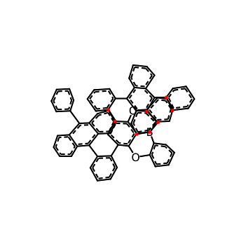 c1ccc(-c2c3ccccc3c(-c3ccccc3-c3cc(-c4ccccc4-c4c5ccccc5c(-c5ccccc5)c5ccccc45)c4c5c3Oc3ccccc3B5c3ccccc3O4)c3ccccc23)cc1